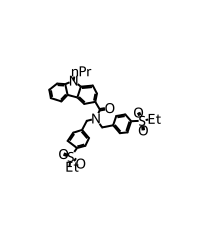 CCCn1c2ccccc2c2cc(C(=O)N(Cc3ccc(S(=O)(=O)CC)cc3)Cc3ccc(S(=O)(=O)CC)cc3)ccc21